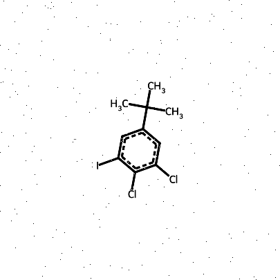 CC(C)(C)c1cc(Cl)c(Cl)c(I)c1